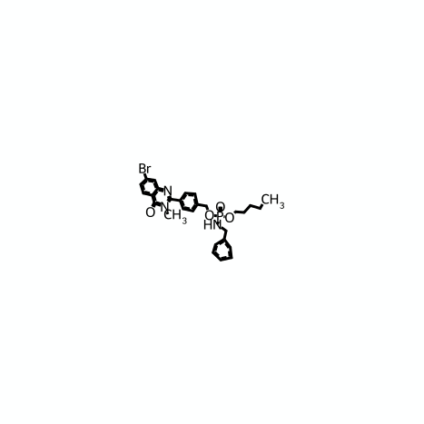 CCCCCOP(=O)(NCc1ccccc1)OCc1ccc(-c2nc3cc(Br)ccc3c(=O)n2C)cc1